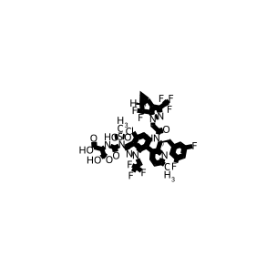 Cc1ccc(-c2ccc(Cl)c3c(N(C(=O)NC(C(=O)O)C(=O)O)S(C)(=O)=O)nn(CC(F)(F)F)c23)c([C@H](Cc2cc(F)cc(F)c2)NC(=O)Cn2nc(C(F)(F)F)c3c2C(F)(F)[C@@H]2CC32)n1